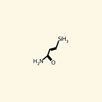 NC(=O)C=C[SiH3]